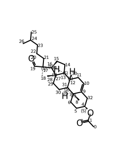 CC(=O)O[C@H]1CC[C@@]2(C)C(=CC[C@H]3[C@@H]4CC[C@H]([C@@](C)(C=O)CCCC(C)C)[C@@]4(C)CC[C@@H]32)C1